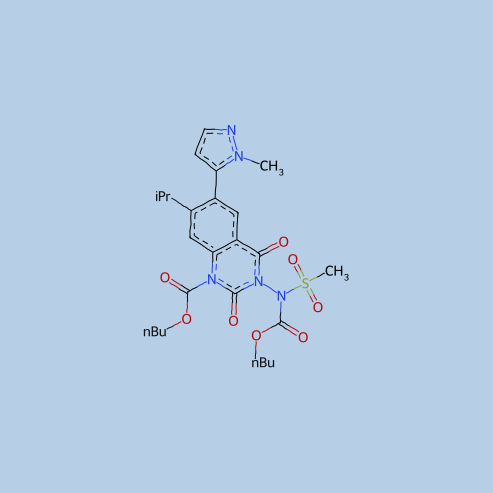 CCCCOC(=O)N(n1c(=O)c2cc(-c3ccnn3C)c(C(C)C)cc2n(C(=O)OCCCC)c1=O)S(C)(=O)=O